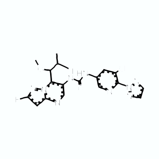 COC(c1c(NC(=O)Nc2cnc(-n3nccn3)c(Cl)c2)cnc2cc(F)nn12)C(C)C